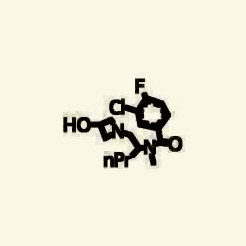 CCCC(CN1CC(O)C1)N(C)C(=O)c1ccc(F)c(Cl)c1